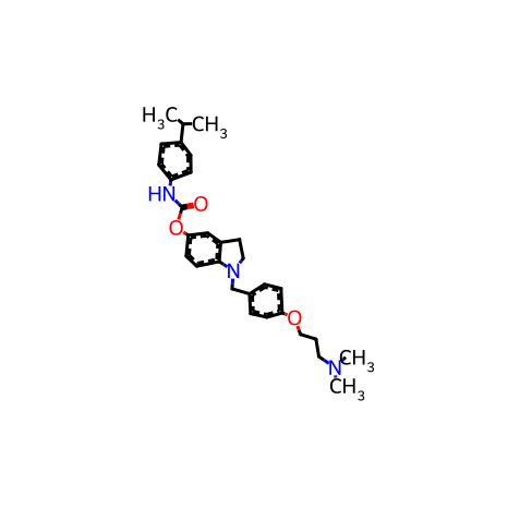 CC(C)c1ccc(NC(=O)Oc2ccc3c(c2)CCN3Cc2ccc(OCCCN(C)C)cc2)cc1